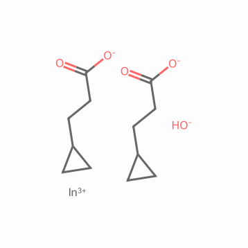 O=C([O-])CCC1CC1.O=C([O-])CCC1CC1.[In+3].[OH-]